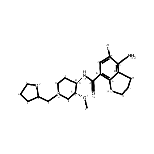 CO[C@@H]1CN(CC2CCCO2)CC[C@@H]1NC(=O)c1cc(Cl)c(N)c2c1OCCC2